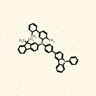 CC1C=CC=CC1C1=CC(N(c2ccc(-c3ccc4c(c3)c3ccccc3n4-c3ccccc3)cc2)c2ccc3c(c2)C(C)(C)c2ccccc2-3)C(C)C=C1